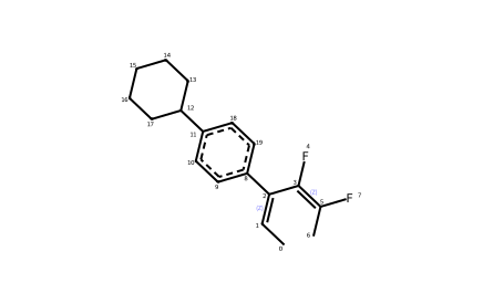 C/C=C(\C(F)=C(/C)F)c1ccc(C2CCCCC2)cc1